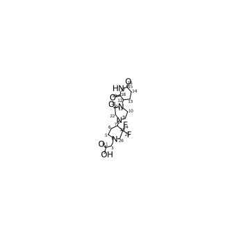 O=C(O)CN1CCC(N2CCN(C3CCC(=O)NC3=O)C(=O)C2)C(F)(F)C1